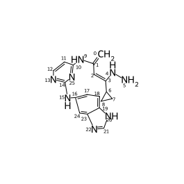 C=C(/C=C(\NN)C1CC1)Nc1ccnc(Nc2ccc3[nH]cnc3c2)n1